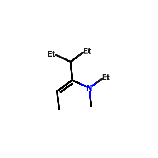 C/C=C(/C(CC)CC)N(C)CC